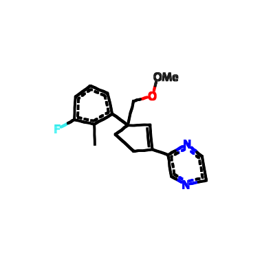 COOCC1(c2cccc(F)c2C)C=C(c2cnccn2)CC1